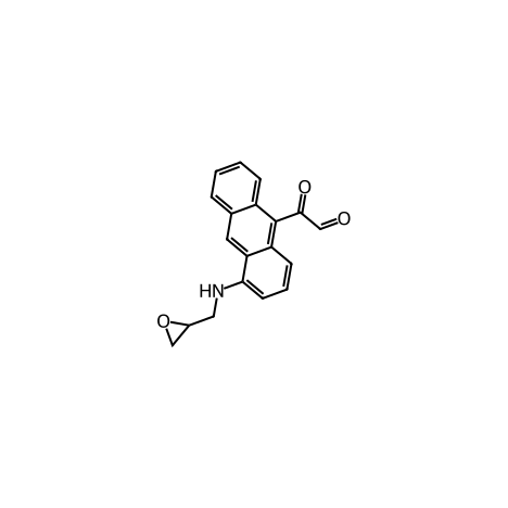 O=CC(=O)c1c2ccccc2cc2c(NCC3CO3)cccc12